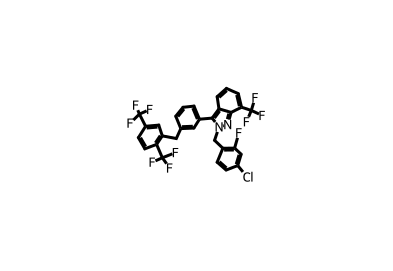 Fc1cc(Cl)ccc1Cn1nc2c(C(F)(F)F)cccc2c1-c1cccc(Cc2cc(C(F)(F)F)ccc2C(F)(F)F)c1